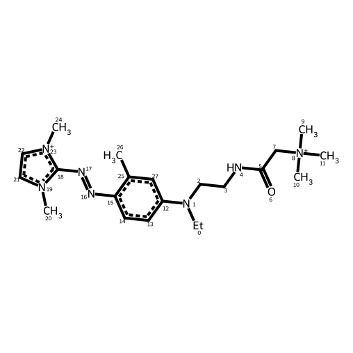 CCN(CCNC(=O)C[N+](C)(C)C)c1ccc(N=Nc2n(C)cc[n+]2C)c(C)c1